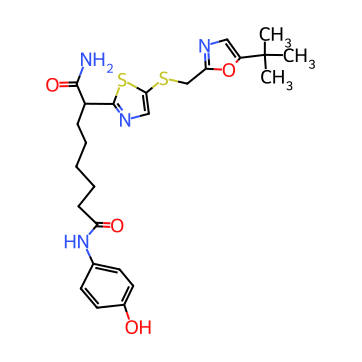 CC(C)(C)c1cnc(CSc2cnc(C(CCCCCC(=O)Nc3ccc(O)cc3)C(N)=O)s2)o1